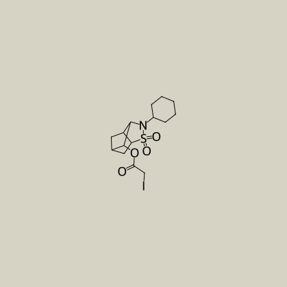 O=C(CI)OC1C2CC3C1N(C1CCCCC1)S(=O)(=O)C3C2